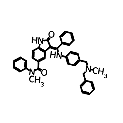 CN(Cc1ccccc1)Cc1ccc(NC(=C2C(=O)Nc3ccc(C(=O)N(C)c4ccccc4)cc32)c2ccccc2)cc1